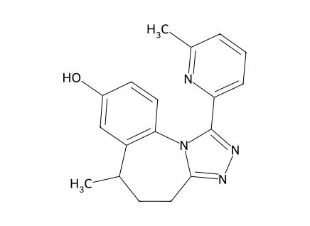 Cc1cccc(-c2nnc3n2-c2ccc(O)cc2C(C)CC3)n1